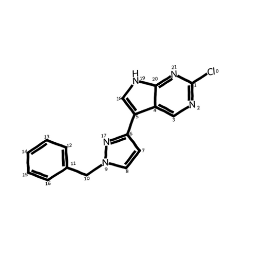 Clc1ncc2c(-c3ccn(Cc4ccccc4)n3)c[nH]c2n1